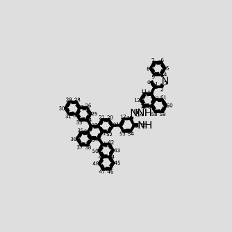 C=C(/C=N\c1ccccc1)c1ccc(N/N=C2/C=C(c3ccc4c(-c5ccc6ccccc6c5)c5ccccc5c(-c5ccc6ccccc6c5)c4c3)C=CC2=N)c2ccccc12